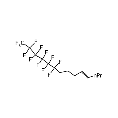 CCCC=CCCCC(F)(F)C(F)(F)C(F)(F)C(F)(F)C(F)(F)C(F)(F)F